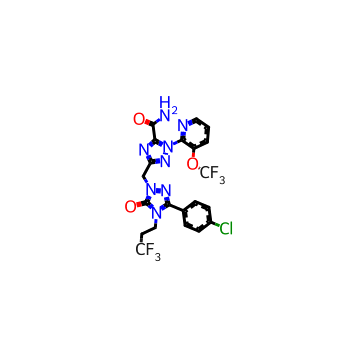 NC(=O)c1nc(Cn2nc(-c3ccc(Cl)cc3)n(CCC(F)(F)F)c2=O)nn1-c1ncccc1OC(F)(F)F